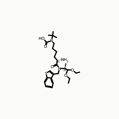 CCOC(OCC)[C@H](C)N(Cc1csc2ccccc12)C(=O)[C@@H](N)CCCCN(C(=O)O)C(C)(C)C